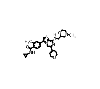 Cc1cc(-c2cnc3c(NCC4CN(C)CCO4)nc(C4=CCOCC4)cn23)ccc1C(=O)NC1CC1